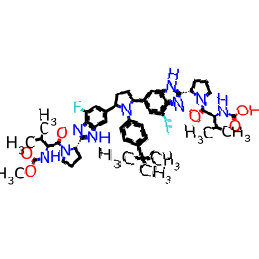 COC(=O)N[C@H](C(=O)N1CCC[C@H]1c1nc2c(F)cc(C3CCC(c4cc(F)c5nc([C@@H]6CCCN6C(=O)[C@@H](NC(=O)O)C(C)C)[nH]c5c4)N3c3ccc(C(C)(C)C)cc3)cc2[nH]1)C(C)C